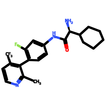 Cc1nccc(C(F)(F)F)c1-c1ccc(NC(=O)[C@@H](N)C2CCCCC2)cc1F